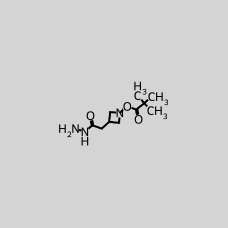 CC(C)(C)C(=O)ON1CC(CC(=O)NN)C1